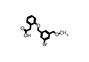 COCc1cc(Br)cc(COc2ccccc2CC(=O)O)c1